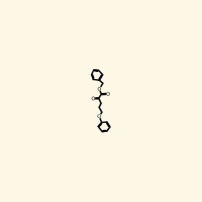 O=C(CCCOc1ccccc1)C(=O)OCc1ccccc1